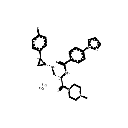 CN1CCN(C(=O)[C@H](CN[C@@H]2C[C@H]2c2ccc(F)cc2)NC(=O)c2ccc(-n3cccn3)cc2)CC1.Cl.Cl